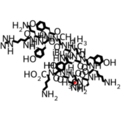 CC[C@H](C)[C@H](NC(=O)[C@H](C)NC(=O)[C@H](Cc1ccccc1)NC(=O)[C@H](Cc1ccc(O)cc1)NC(=O)[C@H](CCC(N)=O)NC(=O)[C@@H](N)CCCNC(=N)N)C(=O)N[C@@H](C)C(=O)N[C@@H](Cc1c[nH]c2ccccc12)C(=O)N[C@@H](Cc1ccc(O)cc1)C(=O)N[C@@H](CCCCN)C(=O)N[C@@H](CC(C)C)C(=O)N[C@@H](C)C(=O)N[C@@H](CC(N)=O)C(=O)N[C@@H](CO)C(=O)N[C@@H](CCCCN)C(=O)O